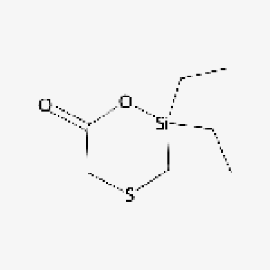 CC[Si]1(CC)CSCC(=O)O1